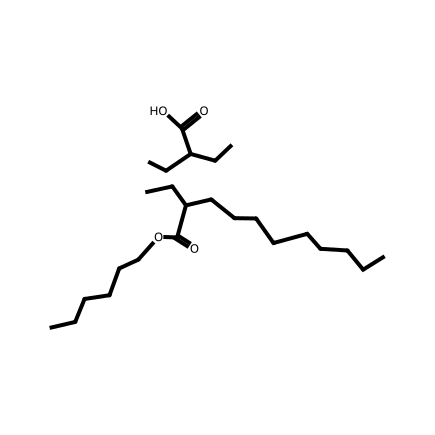 CCC(CC)C(=O)O.CCCCCCCCCC(CC)C(=O)OCCCCCC